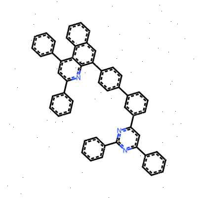 c1ccc(-c2cc(-c3cccc(-c4ccc(-c5cc6ccccc6c6c(-c7ccccc7)cc(-c7ccccc7)nc56)cc4)c3)nc(-c3ccccc3)n2)cc1